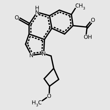 COC1CC(Cn2ncc3c(=O)[nH]c4cc(C)c(C(=O)O)cc4c32)C1